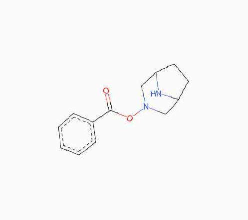 O=C(ON1CC2CCC(C1)N2)c1ccccc1